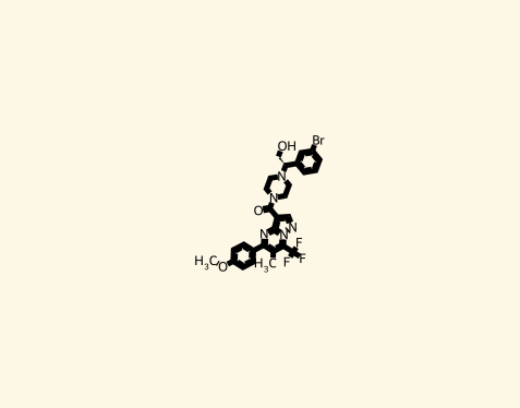 COc1ccc(-c2nc3c(C(=O)N4CCN([C@H](CO)c5cccc(Br)c5)CC4)cnn3c(C(F)(F)F)c2C)cc1